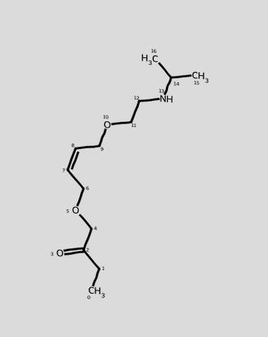 CCC(=O)COC/C=C\COCCNC(C)C